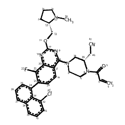 C=CC(=O)N1CCN(c2nc(OC[C@@H]3CCCN3C)nc3c(F)c(-c4cccc5cccc(Cl)c45)ccc23)C[C@@H]1CC#N